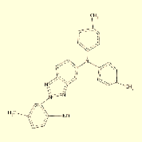 Cc1ccc(N(c2ccc(C)cc2)c2ccc3nn(-c4cc(C)ccc4N=O)nc3c2)cc1